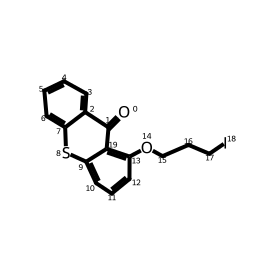 O=c1c2ccccc2sc2cccc(OCCCI)c12